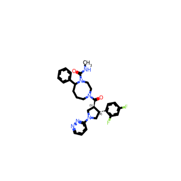 CNC(=O)N1CCN(C(=O)[C@@H]2CN(c3cccnn3)C[C@H]2c2ccc(F)cc2F)CCCC1c1ccccc1